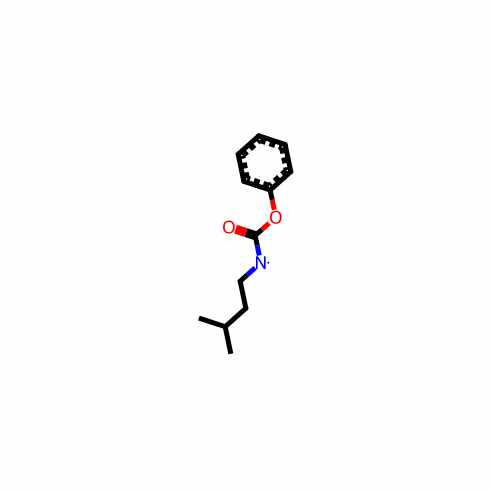 CC(C)CC[N]C(=O)Oc1ccccc1